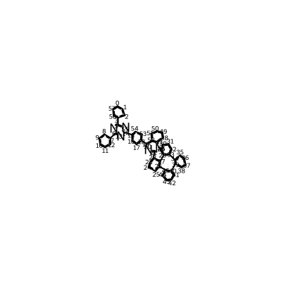 c1ccc(-c2nc(-c3ccccc3)nc(-c3ccc(-c4nc(-c5cccc6c5-c5ccccc5-c5ccccc5-c5ccccc5-6)nc5ccccc45)cc3)n2)cc1